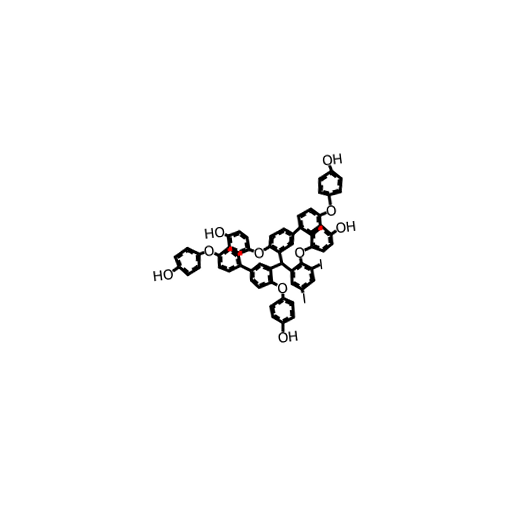 Oc1ccc(Oc2ccc(-c3ccc(Oc4ccc(O)cc4)c(C(c4cc(-c5ccc(Oc6ccc(O)cc6)cc5)ccc4Oc4ccc(O)cc4)c4cc(I)cc(I)c4Oc4ccc(O)cc4)c3)cc2)cc1